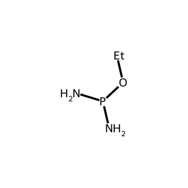 CCOP(N)N